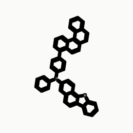 c1ccc(N(c2ccc(-c3cccc4c3ccc3ccc5ccccc5c34)cc2)c2ccc3c(ccc4c5ccccc5oc34)c2)cc1